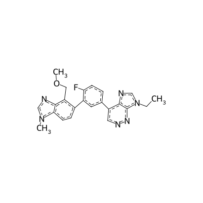 CCn1cnc2c(-c3ccc(F)c(-c4ccc5c(ncn5C)c4COC)c3)cnnc21